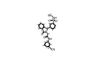 CC(C)(C)NS(=O)(=O)c1cccc(C2c3ccccc3C(=O)N2CC(=O)Nc2cccc(C#N)c2)c1